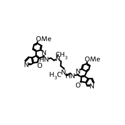 COc1ccc2c3c(c(NCCN(C)CCCN(C)CCNc4nc5cc(OC)ccc5c5c4C(=O)c4cnccc4-5)nc2c1)C(=O)c1cnccc1-3